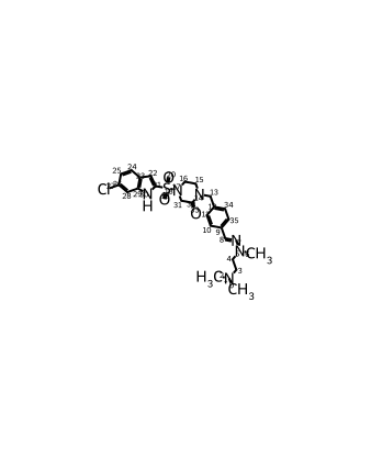 CN(C)CCN(C)/N=C/c1ccc(CN2CCN(S(=O)(=O)c3cc4ccc(Cl)cc4[nH]3)CC2=O)cc1